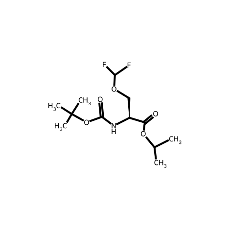 CC(C)OC(=O)[C@H](COC(F)F)NC(=O)OC(C)(C)C